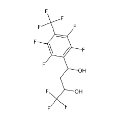 OC(CC(O)C(F)(F)F)c1c(F)c(F)c(C(F)(F)F)c(F)c1F